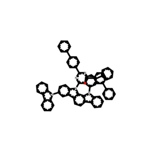 c1ccc(-c2ccc(-c3nc(-c4cccc(-c5ccccc5)c4)nc(-n4c5ccc(-n6c7ccccc7c7ccccc76)cc5c5ccc6c7ccccc7n(-c7cccc(-c8ccccc8)c7)c6c54)n3)cc2)cc1